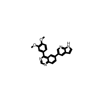 COc1ccc(-c2ncnc3ccc(-c4cnc5[nH]ccc5c4)cc23)cc1OC